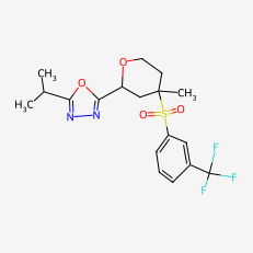 CC(C)c1nnc(C2CC(C)(S(=O)(=O)c3cccc(C(F)(F)F)c3)CCO2)o1